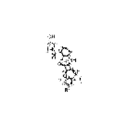 CC[C@@H](Nc1c(Nc2cccc(C(=O)N3CC[C@H](O)C3)c2O)c(=O)c1=O)c1cc(Br)c(C)o1